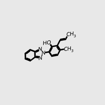 CC=Cc1c(C)ccc(-n2nc3ccccc3n2)c1O